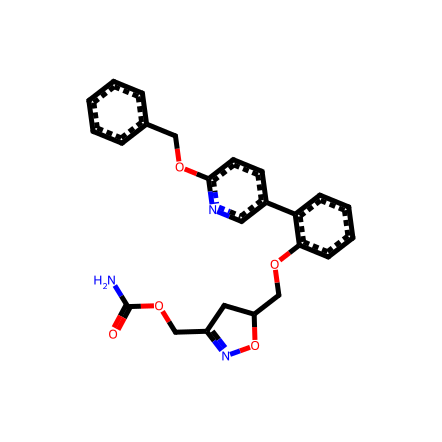 NC(=O)OCC1=NOC(COc2ccccc2-c2ccc(OCc3ccccc3)nc2)C1